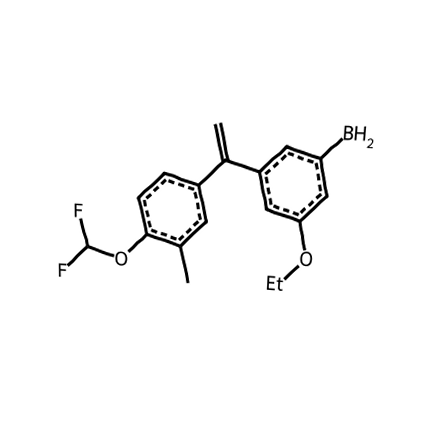 Bc1cc(OCC)cc(C(=C)c2ccc(OC(F)F)c(C)c2)c1